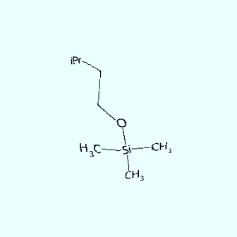 CC(C)CCO[Si](C)(C)C